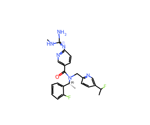 CN/C(N)=N\c1ccc(C(=O)N(Cc2ccc(C(C)F)cn2)[C@H](C)c2ccccc2F)cn1